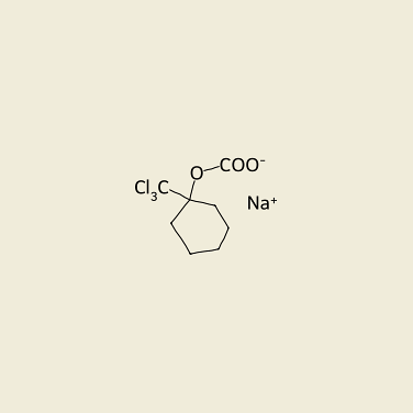 O=C([O-])OC1(C(Cl)(Cl)Cl)CCCCC1.[Na+]